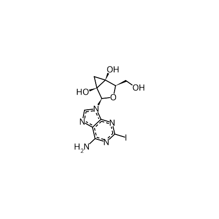 Nc1nc(I)nc2c1ncn2[C@@H]1O[C@H](CO)[C@@]2(O)C[C@@]12O